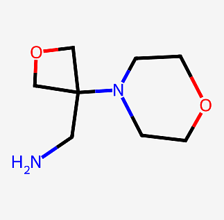 NCC1(N2CCOCC2)COC1